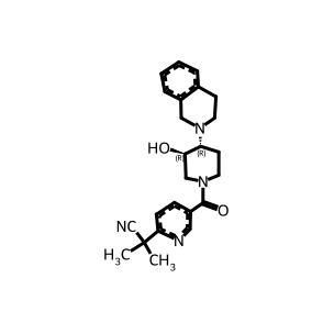 CC(C)(C#N)c1ccc(C(=O)N2CC[C@@H](N3CCc4ccccc4C3)[C@H](O)C2)cn1